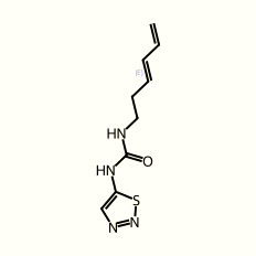 C=C/C=C/CCNC(=O)Nc1cnns1